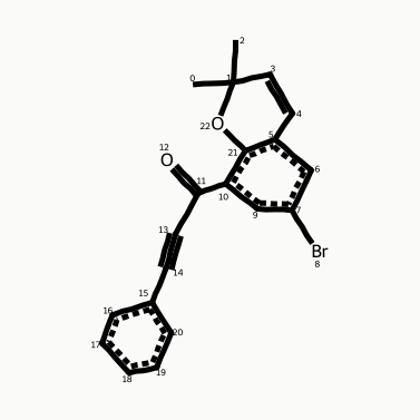 CC1(C)C=Cc2cc(Br)cc(C(=O)C#Cc3ccccc3)c2O1